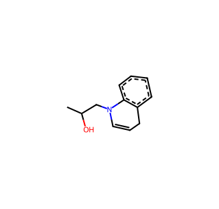 CC(O)CN1C=CCc2ccccc21